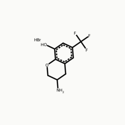 Br.NC1COc2c(O)cc(C(F)(F)F)cc2C1